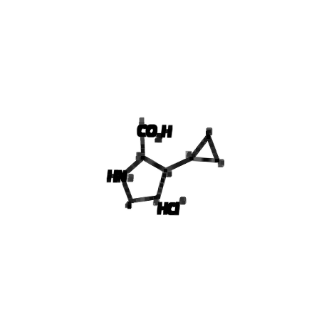 Cl.O=C(O)C1NCCC1C1CC1